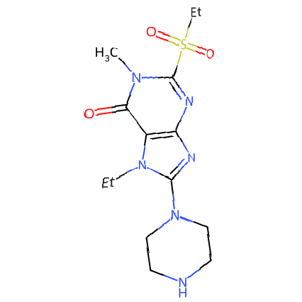 CCn1c(N2CCNCC2)nc2nc(S(=O)(=O)CC)n(C)c(=O)c21